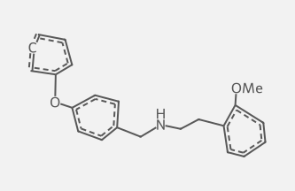 COc1ccccc1CCNCc1ccc(Oc2ccccc2)cc1